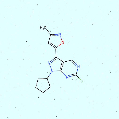 Cc1cc(-c2nn(C3CCCC3)c3nc(F)ncc23)on1